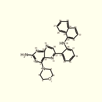 Nc1nc(N2CCOCC2)c2nc(-c3ccccc3Nc3cccc4ccccc34)cnc2n1